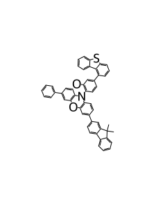 CC1(C)c2ccccc2-c2ccc(-c3ccc4c(c3)Oc3cc(-c5ccccc5)cc5c3N4c3ccc(-c4cccc6sc7ccccc7c46)cc3O5)cc21